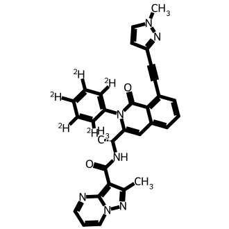 [2H]c1c([2H])c([2H])c(-n2c([C@@H](C)NC(=O)c3c(C)nn4cccnc34)cc3cccc(C#Cc4ccn(C)n4)c3c2=O)c([2H])c1[2H]